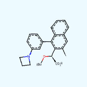 Cc1cc2ccccc2c(-c2cccc(N3CCC3)c2)c1[C@H](OC(C)(C)C)C(=O)O